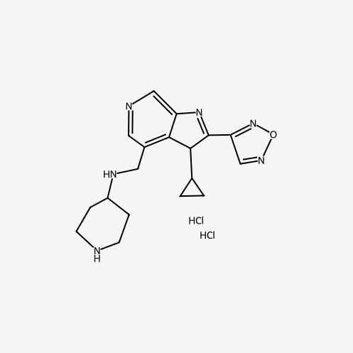 Cl.Cl.c1nonc1C1=Nc2cncc(CNC3CCNCC3)c2C1C1CC1